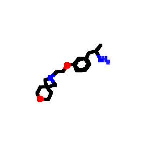 CC(N)Cc1cccc(OCCN2CC3(CCOCC3)C2)c1